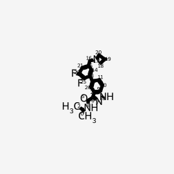 CC(C)NC(=O)c1n[nH]c2ccc(-c3cc(CN4CCC4)cc(F)c3F)cc12